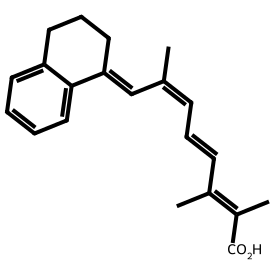 CC(=C/C=C/C(C)=C(\C)C(=O)O)/C=C1\CCCc2ccccc21